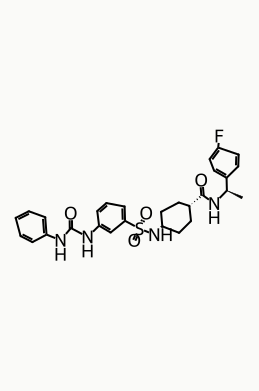 C[C@@H](NC(=O)[C@H]1CC[C@H](NS(=O)(=O)c2cccc(NC(=O)Nc3ccccc3)c2)CC1)c1ccc(F)cc1